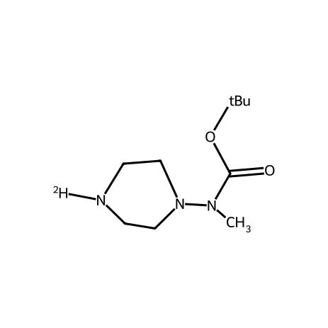 [2H]N1CCN(N(C)C(=O)OC(C)(C)C)CC1